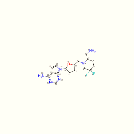 NCC1CCC(F)(F)CN1CC1CCC(n2ccc3c(N)ncnc32)O1